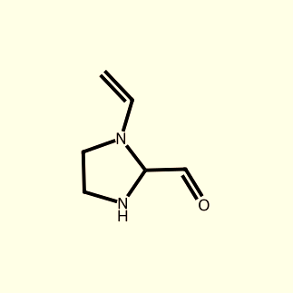 C=CN1CCNC1C=O